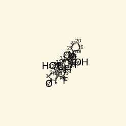 C[C@]12C=CC(=O)C=C1[C@@H](F)C[C@H]1[C@@H]3C[C@H]4CN(c5ccccc5)O[C@@]4(C(=O)CO)[C@@]3(C)C[C@H](O)[C@@]12F